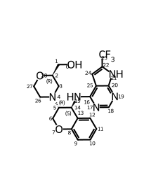 OC[C@H]1CN([C@H]2COc3ccccc3[C@@H]2Nc2ncnc3[nH]c(C(F)(F)F)cc23)CCO1